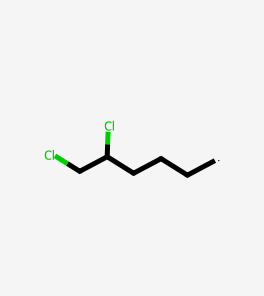 [CH2]CCCC(Cl)CCl